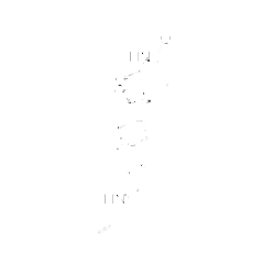 C#CCNCCCc1ccc2c(c1)CN(C1CCC(=O)NC1=O)C2=O